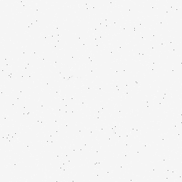 CCCCCCCCCCOc1cc(C)cc(CC)c1